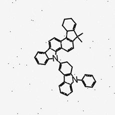 CC1(C)C2=CCCCC2c2c1ccc1c2ccc2c3ccccc3n(C3=Cc4c(n(-c5ccccc5)c5ccccc45)CC3)c12